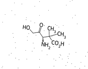 CC(C)(C(=O)O)[C@@H](N)C(=O)CO